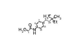 C=CC(=O)Nc1ccc(CCC(C)(C)CC)cc1